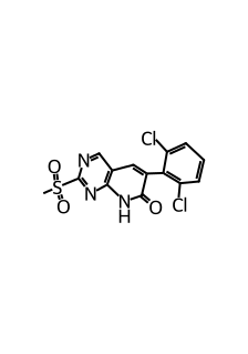 CS(=O)(=O)c1ncc2cc(-c3c(Cl)cccc3Cl)c(=O)[nH]c2n1